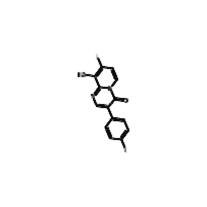 O=c1c(-c2ccc(Cl)cc2)cnc2c(O)c(I)ccn12